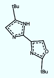 CC(C)(C)c1cnc(-c2coc(C(C)(C)C)n2)[nH]1